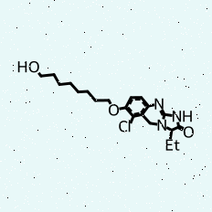 CCC1C(=O)NC2=Nc3ccc(OCCCCCCCCO)c(Cl)c3CN21